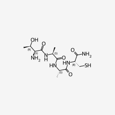 C[C@H](NC(=O)[C@H](C)NC(=O)[C@@H](N)[C@@H](C)O)C(=O)N[C@@H](CS)C(N)=O